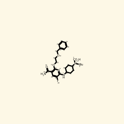 CC(C)(C)N(C(=O)O)C1CCC(Nc2nc(OCCOCc3ccccc3)c(C(N)=O)cc2F)CC1